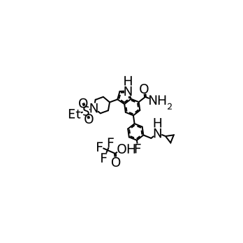 CCS(=O)(=O)N1CCC(c2c[nH]c3c(C(N)=O)cc(-c4ccc(F)c(CNC5CC5)c4)cc23)CC1.O=C(O)C(F)(F)F